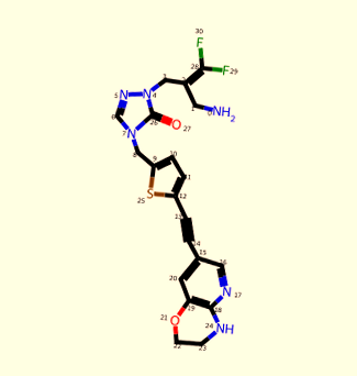 NCC(Cn1ncn(Cc2ccc(C#Cc3cnc4c(c3)OCCN4)s2)c1=O)=C(F)F